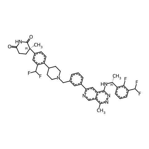 Cc1nnc(N[C@H](C)c2cccc(C(F)F)c2F)c2cc(-c3cccc(CN4CCC(c5ccc([C@@]6(C)CCC(=O)NC6=O)cc5C(F)F)CC4)c3)ncc12